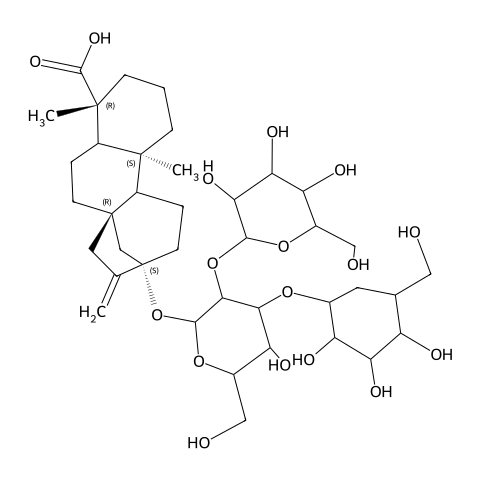 C=C1C[C@@]23CCC4[C@@](C)(CCC[C@@]4(C)C(=O)O)C2CC[C@]1(OC1OC(CO)C(O)C(OC2CC(CO)C(O)C(O)C2O)C1OC1OC(CO)C(O)C(O)C1O)C3